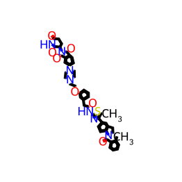 Cc1ccccc1C(=O)N1CCc2cc(-c3nc(NC(=O)Cc4cccc(OCCN5CCN(c6ccc7c(c6)C(=O)N(C6CCC(=O)NC6=O)C7=O)CC5)c4)sc3C)ccc21